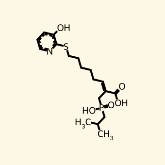 CC(C)CP(=O)(O)CC(=CCCCCCSc1ncccc1O)C(=O)O